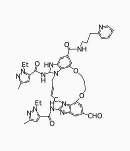 CCn1nc(C)cc1C(=O)Nc1nc2cc(C=O)cc3c2n1C/C=C/CN1c2c(cc(C(=O)NCCCc4ccccn4)cc2OCCCO3)NC1NC(=O)c1cc(C)nn1CC